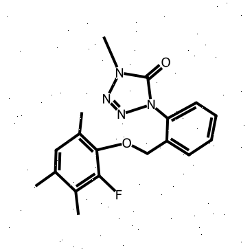 Cc1cc(C)c(OCc2ccccc2-n2nnn(C)c2=O)c(F)c1C